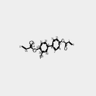 C=CC(=O)Oc1ccc(-c2ccc(OC(=O)C=C)c(F)c2)cc1